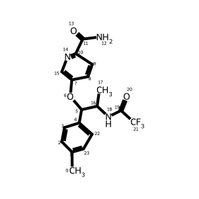 Cc1ccc(C(Oc2ccc(C(N)=O)nc2)C(C)NC(=O)C(F)(F)F)cc1